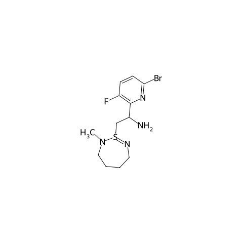 CN1CCCCN=S1CC(N)c1nc(Br)ccc1F